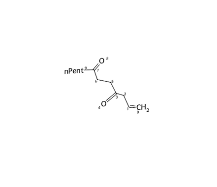 C=CCC(=O)CCC(=O)CCCCC